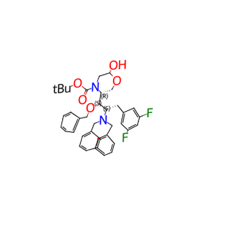 CC(C)(C)OC(=O)N1CC(O)OC[C@@H]1[C@@H](OCc1ccccc1)[C@H](Cc1cc(F)cc(F)c1)N(Cc1ccccc1)Cc1ccccc1